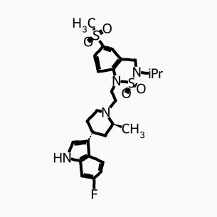 CC(C)N1Cc2cc(S(C)(=O)=O)ccc2N(CCN2CC[C@@H](c3c[nH]c4cc(F)ccc34)C[C@@H]2C)S1(=O)=O